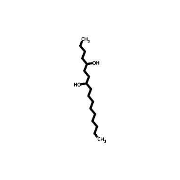 CCCCCCCCCC(O)CCC(O)CCCC